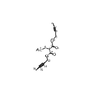 CC#CCOC(=O)C(CC(C)=O)C(=O)OCC#CC